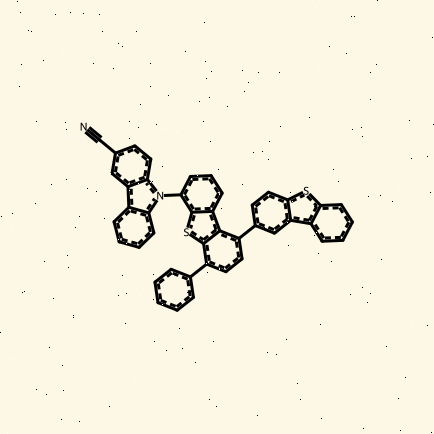 N#Cc1ccc2c(c1)c1ccccc1n2-c1cccc2c1sc1c(-c3ccccc3)ccc(-c3ccc4sc5ccccc5c4c3)c12